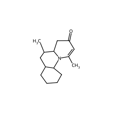 CC1=CC(=O)CC2C(C)CC3CCCCC3N12